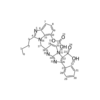 CCCCc1nc2cccc(OC(=O)O)c2n1Cc1ccn2c(C(=O)O)c(-c3ccccc3)nc2n1